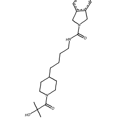 CC(C)(O)C(=O)N1CCC(CCCCNC(=O)N2Cc3ccncc3C2)CC1